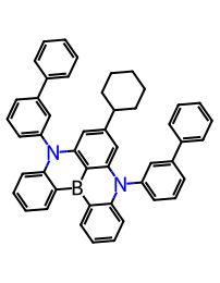 c1ccc(-c2cccc(N3c4ccccc4B4c5ccccc5N(c5cccc(-c6ccccc6)c5)c5cc(C6CCCCC6)cc3c54)c2)cc1